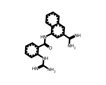 N=C(N)Nc1ccccc1C(=O)Nc1cc(C(=N)N)cc2ccccc12